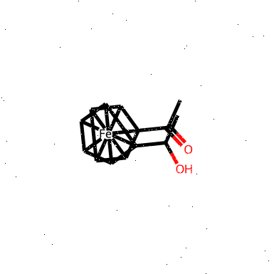 CC(=O)[C]12[CH]3[CH]4[CH]5[CH]1[Fe]45321678[CH]2[CH]1[CH]6[C]7(C(C)O)[CH]28